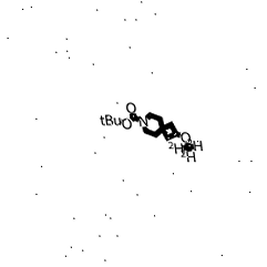 [2H]C([2H])([2H])OC1CC2(CCN(C(=O)OC(C)(C)C)CC2)C1